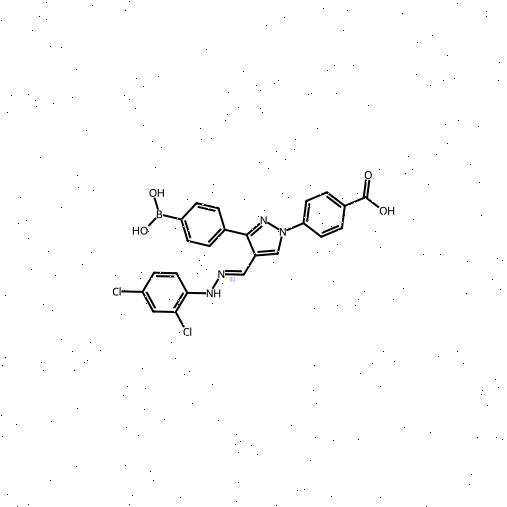 O=C(O)c1ccc(-n2cc(/C=N/Nc3ccc(Cl)cc3Cl)c(-c3ccc(B(O)O)cc3)n2)cc1